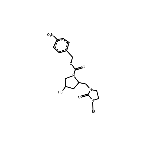 CCN1CCN(CC2CC(S)CN2C(=O)OCc2ccc([N+](=O)[O-])cc2)C1=O